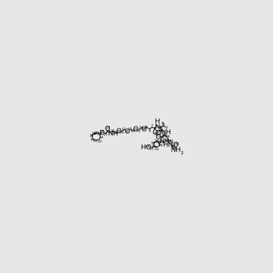 CC(C)[C@H](NC(=O)CCCOCCOCCOCCOCCNC(=O)COC1C#CCCCCC1)C(=O)N[C@@H](CCCNC(N)=O)C(=O)Nc1ccc(CO)cc1